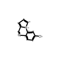 Clc1ccc2ncc3cccn3c2c1